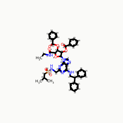 CCNC(=O)C1OC(n2cnc3c(NCC(c4ccccc4)c4ccccc4)nc(CNS(=O)(=O)CC(C)C)nc32)C(OC(=O)c2ccccc2)C1OC(=O)c1ccccc1